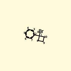 BrC1(c2cc[c]cc2)CCC1